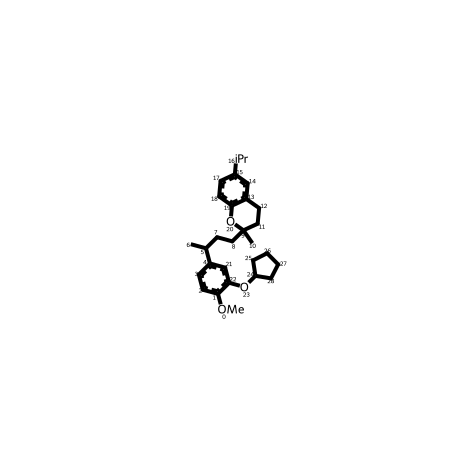 COc1ccc(C(C)CCC2(C)CCc3cc(C(C)C)ccc3O2)cc1OC1CCCC1